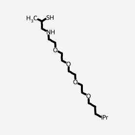 CC(C)CCCOCCOCCOCCOCCNCC(C)S